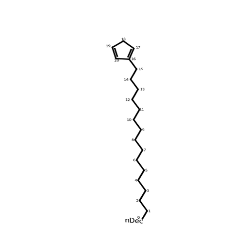 CCCCCCCCCCCCCCCCCCCCCCCCCC1=[C]CC=C1